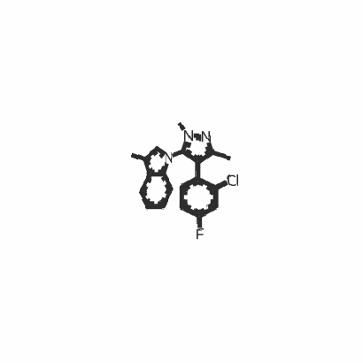 Cc1nn(C)c(-n2cc(C)c3ccccc32)c1-c1ccc(F)cc1Cl